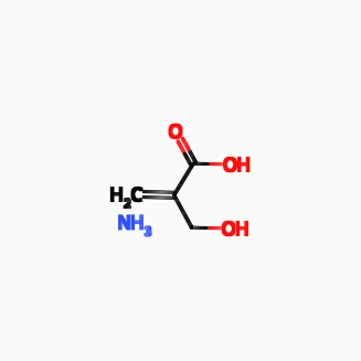 C=C(CO)C(=O)O.N